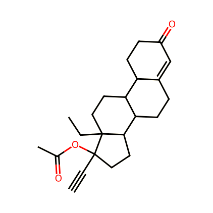 C#CC1(OC(C)=O)CCC2C3CCC4=CC(=O)CCC4C3CCC21CC